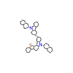 c1ccc2cc(-n3c4ccccc4c4cc(-c5ccc6c(c5)c5c7sc8ccccc8c7ccc5n6-c5ccc6ccccc6c5)ccc43)ccc2c1